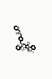 CC1C(CN(Cc2ccc(CNCc3ccccn3)cc2)Cc2ccccn2)C(=O)N(c2ccccc2)N1C